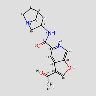 O=C(NC1CC2CCN(C2)C1)c1cc2c(C(=O)C(F)(F)F)coc2cn1